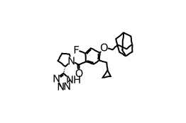 O=C(c1cc(CC2CC2)c(OCC23CC4CC(CC(C4)C2)C3)cc1F)N1CCC[C@H]1c1nnn[nH]1